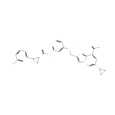 CC(=O)c1cc(C2CC2)cn2cc(CNc3ccnc(NC(=O)[C@H]4CC4c4cccc(Cl)c4)c3)nc12